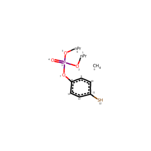 C.CCCOP(=O)(OCCC)Oc1ccc(S)cc1